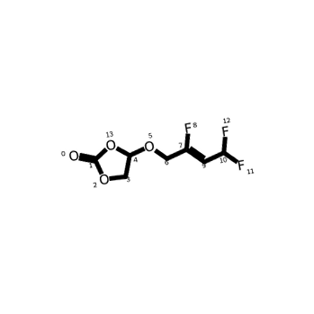 O=C1OCC(OCC(F)=CC(F)F)O1